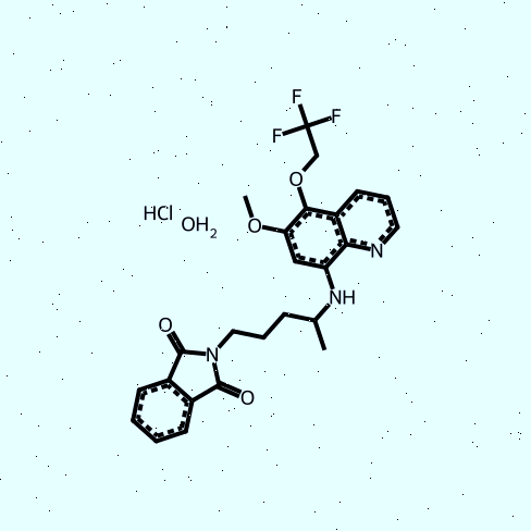 COc1cc(NC(C)CCCN2C(=O)c3ccccc3C2=O)c2ncccc2c1OCC(F)(F)F.Cl.O